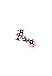 Cc1cccc(Cl)c1-c1noc(C2CC2)c1C(=O)O[C@H]1C[C@@H]2C[C@H]1CN2c1nc2c(F)cc(C(=O)O)cc2s1